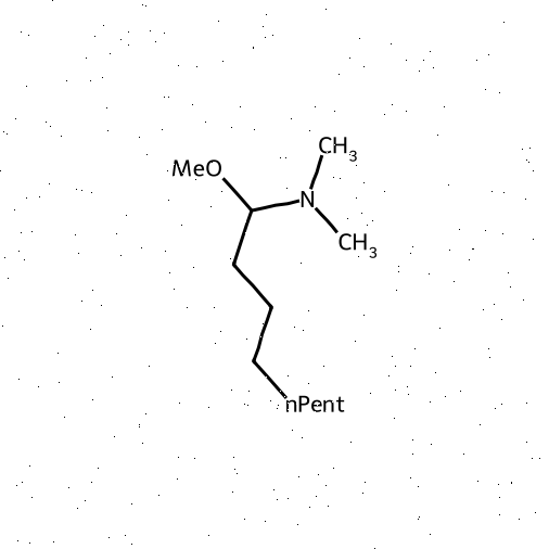 CCCCCCCCC(OC)N(C)C